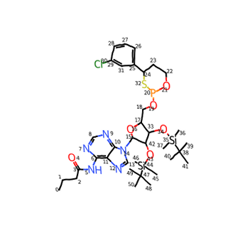 CCCC(=O)Nc1ncnc2c1ncn2C1OC(COP2OCCC(c3cccc(Cl)c3)S2)C(O[Si](C)(C)C(C)(C)C)C1O[Si](C)(C)C(C)(C)C